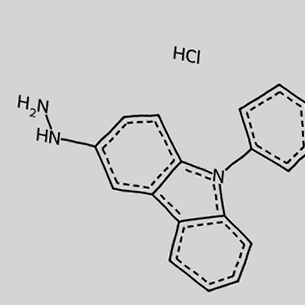 Cl.NNc1ccc2c(c1)c1ccccc1n2-c1ccccc1